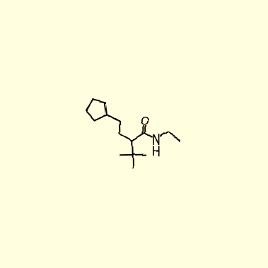 CCNC(=O)C(CCC1CCCC1)C(C)(C)C